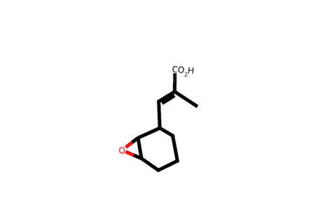 CC(=CC1CCCC2OC12)C(=O)O